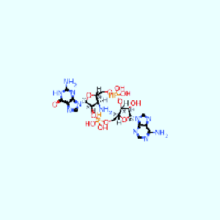 Nc1nc2c(ncn2[C@@H]2O[C@@H]3CO[PH](O)(O)O[C@H]4[C@@H](O)[C@H](n5cnc6c(N)ncnc65)O[C@@H]4CO[PH](O)(O)O[C@@H]2[C@@H]3N)c(=O)[nH]1